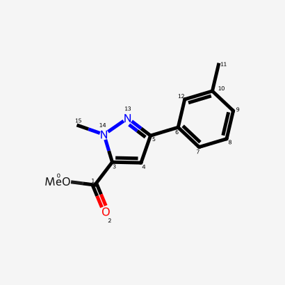 COC(=O)c1cc(-c2cccc(C)c2)nn1C